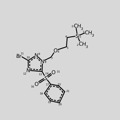 C[Si](C)(C)CCOCn1nc(Br)nc1S(=O)(=O)c1ccccc1